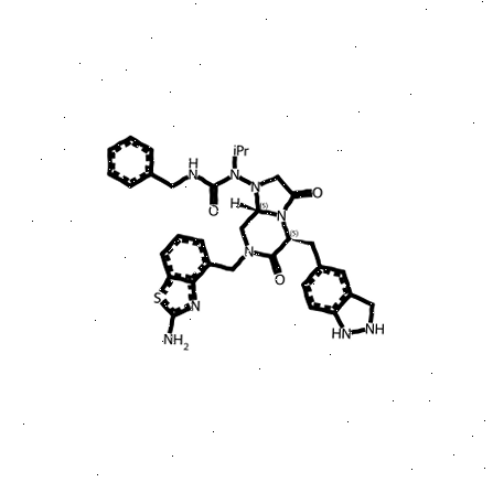 CC(C)N(C(=O)NCc1ccccc1)N1CC(=O)N2[C@@H](Cc3ccc4c(c3)CNN4)C(=O)N(Cc3cccc4sc(N)nc34)C[C@@H]21